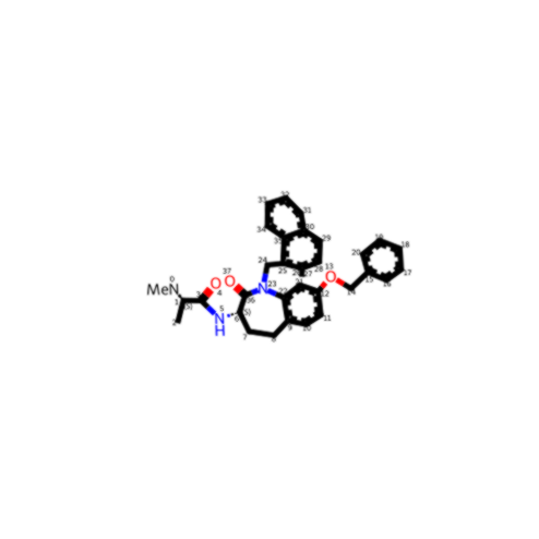 CN[C@@H](C)C(=O)N[C@H]1CCc2ccc(OCc3ccccc3)cc2N(Cc2c(C)ccc3ccccc23)C1=O